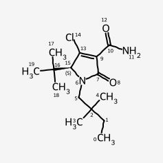 CCC(C)(C)CN1C(=O)C(C(N)=O)=C(Cl)[C@@H]1C(C)(C)C